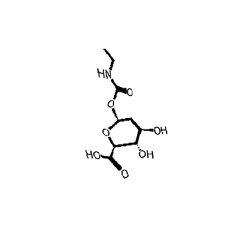 CCNC(=O)O[C@H]1C[C@@H](O)[C@H](O)[C@@H](C(=O)O)O1